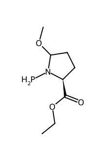 CCOC(=O)[C@@H]1CCC(OC)N1P